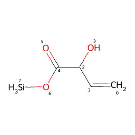 C=CC(O)C(=O)O[SiH3]